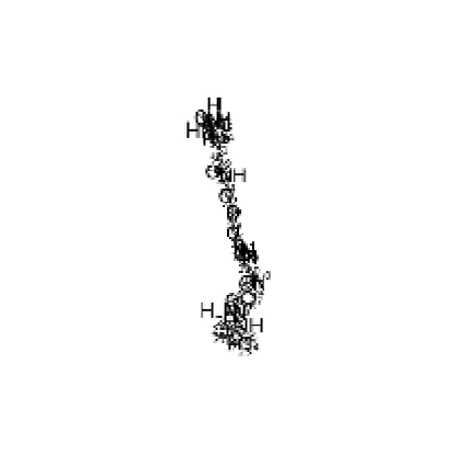 CN(Cc1ccc(S(N)(=O)=NC(=O)Nc2c3c(cc4c2CCC4)CCC3)cc1)C(=O)CCc1cn(CCOCCOCCOCCNC(=O)CCCC[C@@H]2SC[C@@H]3NC(=O)N[C@@H]32)nn1